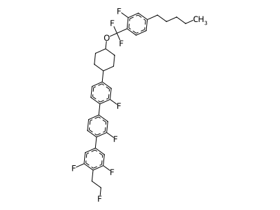 CCCCCc1ccc(C(F)(F)OC2CCC(c3ccc(-c4ccc(-c5cc(F)c(CCF)c(F)c5)c(F)c4)c(F)c3)CC2)c(F)c1